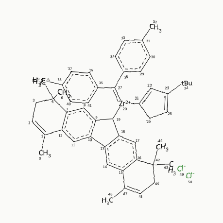 CC1=CCC(C)(C)c2cc3c(cc21)-c1cc2c(cc1[CH]3[Zr+2]([C]1=CC(C(C)(C)C)=CC1)=[C](c1ccc(C)cc1)c1ccc(C)cc1)C(C)(C)CC=C2C.[Cl-].[Cl-]